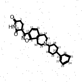 O=C1CCC(c2noc3c4c(ccc23)CCN(C2CCC(c3ccccc3)CC2)CC4)C(=O)N1